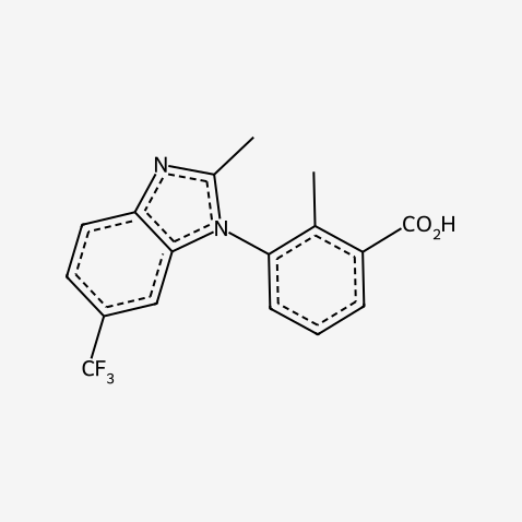 Cc1c(C(=O)O)cccc1-n1c(C)nc2ccc(C(F)(F)F)cc21